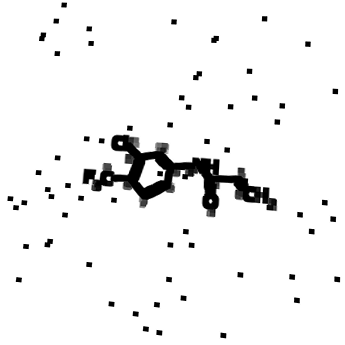 C=CC(=O)Nc1ccc(C(F)(F)F)c(Cl)c1